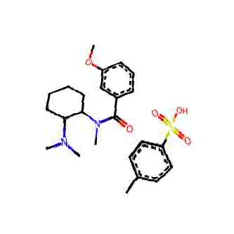 COc1cccc(C(=O)N(C)C2CCCCC2N(C)C)c1.Cc1ccc(S(=O)(=O)O)cc1